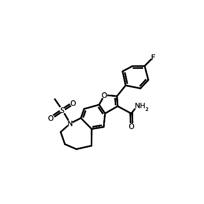 CS(=O)(=O)N1CCCCc2cc3c(C(N)=O)c(-c4ccc(F)cc4)oc3cc21